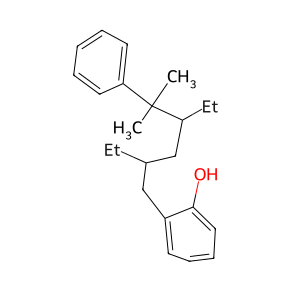 CCC(Cc1ccccc1O)CC(CC)C(C)(C)c1ccccc1